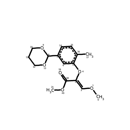 CO/C=C(\Oc1cc(C2OCCCO2)ccc1C)C(=O)OC